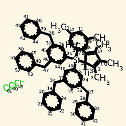 CC1=C(C)[C]([Ti+3])([Si](c2cc(C)cc(C)c2)(c2cc(Cc3ccccc3)cc(Cc3ccccc3)c2)c2cc(Cc3ccccc3)cc(Cc3ccccc3)c2)C(C)=C1C.[Cl-].[Cl-].[Cl-]